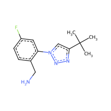 CC(C)(C)c1cn(-c2cc(F)ccc2CN)nn1